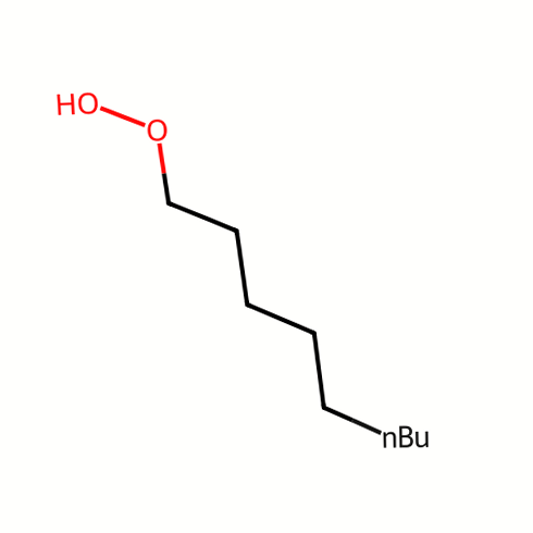 CCCCCCCCCOO